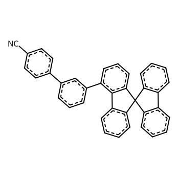 N#Cc1ccc(-c2cccc(-c3cccc4c3-c3ccccc3C43c4ccccc4-c4ccccc43)c2)cc1